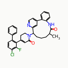 CC1CCCC(N2CCC(c3c(-c4ccccc4)ccc(Cl)c3F)=CC2=O)c2cc(ccn2)-c2ccccc2NC1=O